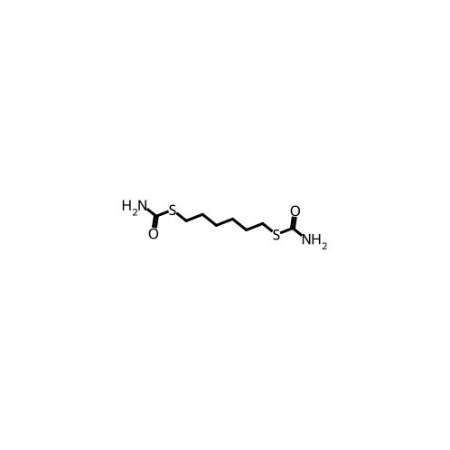 NC(=O)SCCCCCCSC(N)=O